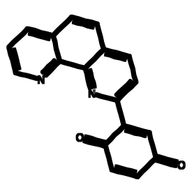 O=C1C=CC(=O)C(c2ccc3ccc4cccnc4c3n2)=C1